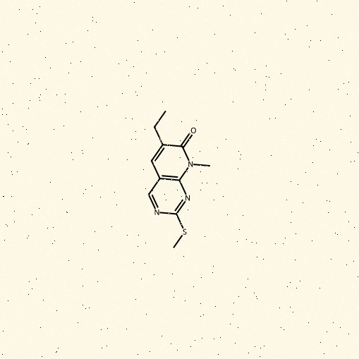 CCc1cc2cnc(SC)nc2n(C)c1=O